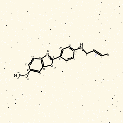 C/C=C/CNc1ccc(-c2nc3ccc(OP)cc3s2)cc1